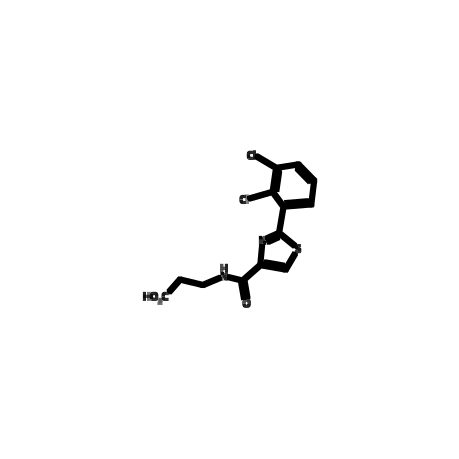 O=C(O)CCNC(=O)c1csc(-c2cccc(Cl)c2Cl)n1